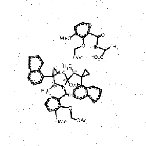 COc1ccnc(C(=O)N([C@@H](C)C2(c3cccc4ccccc34)CC2)[C@@](C)(C(=O)O)[C@@H](C)C2(c3cccc4ccccc34)CC2)c1OCOC(C)=O.COc1ccnc(C(=O)N[C@@H](C)C(=O)O)c1OCOC(C)=O